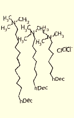 CCCCCCCCCCCCCCCCCCCCCC[N+](C)(C)C.CCCCCCCCCCCCCCCCCC[N+](C)(C)C.CCCCCCCCCCCCCCCC[N+](C)(C)C.[Cl-].[Cl-].[Cl-]